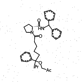 CC(=O)COC(CCCCC(=O)N1CCC[C@@H]1C(=O)NC(c1ccccc1)c1ccccc1)(c1ccccc1)C(C)C